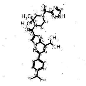 CC(C)c1cc(-c2ccc(C(F)F)cc2)nn2cc(C(=O)N3CCN(C(=O)c4nc[nH]n4)CC3(C)C)nc12